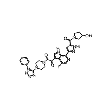 O=C(C(=O)N1CCN(c2nnnn2-c2ccccc2)CC1)c1c[nH]c2c(-c3cc(C(=O)N4CC[C@@H](O)C4)[nH]n3)ncc(F)c12